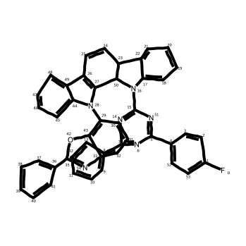 Fc1ccc(-c2nc(-c3ccccc3)nc(N3c4ccccc4C4C=Cc5c(n(-c6cccc7nc(-c8ccccc8)oc67)c6ccccc56)C43)n2)cc1